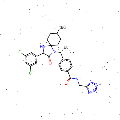 CC[C@H](c1ccc(C(=O)NCc2nn[nH]n2)cc1)N1C(=O)C(c2cc(F)cc(Cl)c2)NC12CCC(C(C)(C)C)CC2